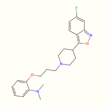 CN(C)c1c[c]ccc1OCCCN1CCC(c2onc3cc(F)ccc23)CC1